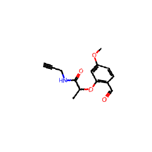 C#CCNC(=O)C(C)Oc1cc(OC)ccc1C=O